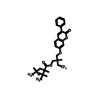 CC(C)(N)CC(C)(C(=O)OCC(C)(COc1ccc2cc(-c3ccccc3)c(=O)oc2c1)CC(F)(F)F)C(C)(C)N